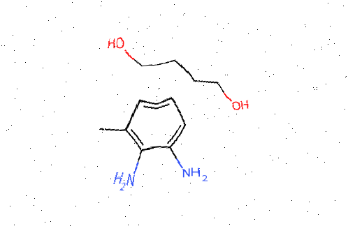 Cc1cccc(N)c1N.OCCCCO